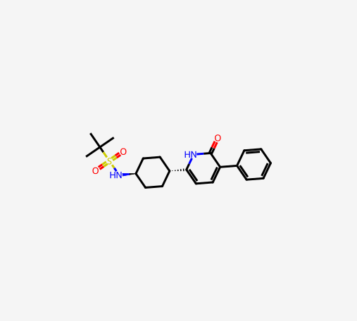 CC(C)(C)S(=O)(=O)N[C@H]1CC[C@H](c2ccc(-c3ccccc3)c(=O)[nH]2)CC1